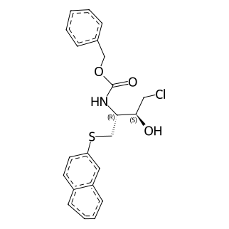 O=C(N[C@@H](CSc1ccc2ccccc2c1)[C@H](O)CCl)OCc1ccccc1